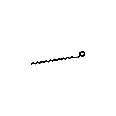 CCCCCCCCCCCCCCCCCCCCCOCc1ccccc1